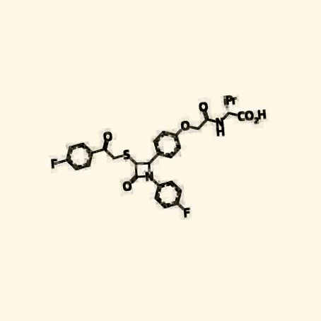 CC(C)[C@@H](NC(=O)COc1ccc(C2C(SCC(=O)c3ccc(F)cc3)C(=O)N2c2ccc(F)cc2)cc1)C(=O)O